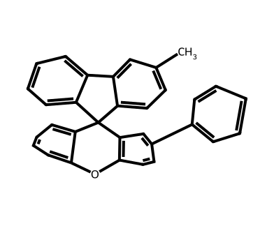 Cc1ccc2c(c1)-c1ccccc1C21c2ccccc2Oc2ccc(-c3ccccc3)cc21